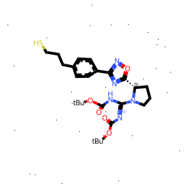 CC(C)(C)OC(=O)/N=C(\NC(=O)OC(C)(C)C)N1CCC[C@H]1c1nc(-c2ccc(CCCS)cc2)no1